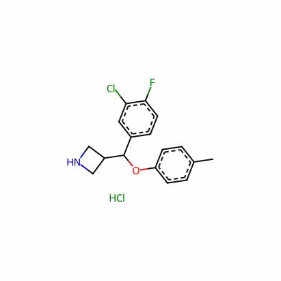 Cc1ccc(OC(c2ccc(F)c(Cl)c2)C2CNC2)cc1.Cl